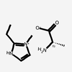 CCc1[nH]cc[n+]1C.C[C@H](N)C(=O)[O-]